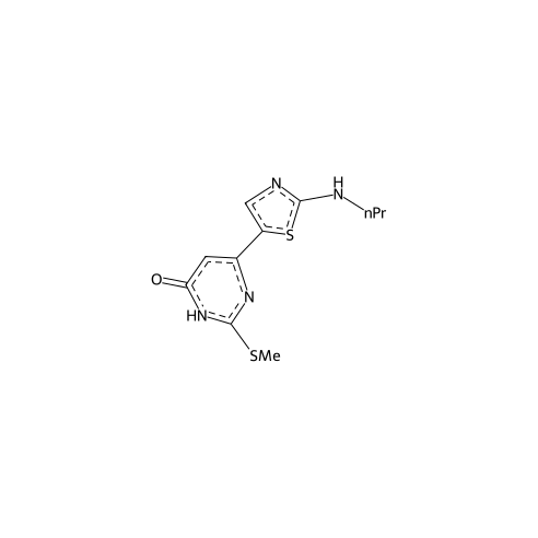 CCCNc1ncc(-c2cc(=O)[nH]c(SC)n2)s1